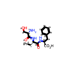 CC(C)C[C@H](NC(=O)[C@@H](N)CO)C(=O)N[C@@H](Cc1ccccc1)C(=O)O